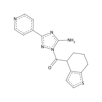 Nc1nc(-c2ccncc2)nn1C(=O)C1CCCc2sccc21